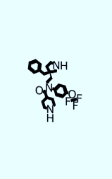 O=C(C1CCNCC1)N(CC[C@@]1(Cc2ccccc2)CCNC1)c1ccc(OC(F)(F)F)cc1